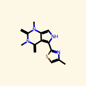 C=C1c2c(c[nH]c2-c2nc(C)cs2)N(C)C(=C)N1C